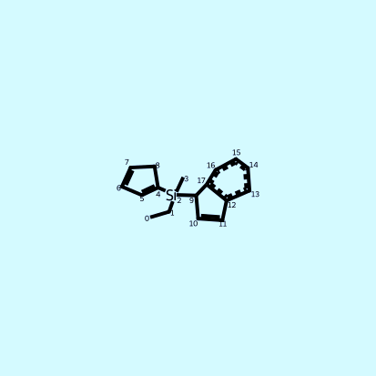 CC[Si](C)(C1=CC=CC1)C1C=Cc2ccccc21